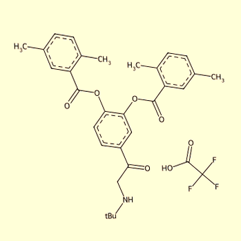 Cc1ccc(C)c(C(=O)Oc2ccc(C(=O)CNC(C)(C)C)cc2OC(=O)c2cc(C)ccc2C)c1.O=C(O)C(F)(F)F